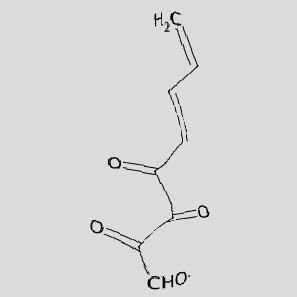 C=CC=CC(=O)C(=O)C(=O)[C]=O